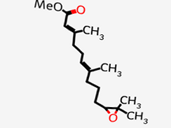 COC(=O)/C=C(\C)CC/C=C(\C)CCCC1OC1(C)C